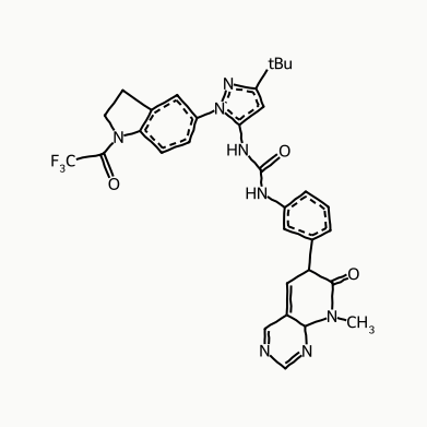 CN1C(=O)C(c2cccc(NC(=O)Nc3cc(C(C)(C)C)nn3-c3ccc4c(c3)CCN4C(=O)C(F)(F)F)c2)C=C2C=NC=NC21